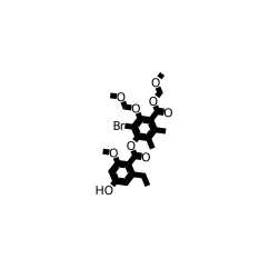 CCc1cc(O)cc(OC)c1C(=O)Oc1c(C)c(C)c(C(=O)OCOC)c(OCOC)c1Br